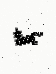 [C-]#[N+]C1=NN(CC(=O)O)C(=O)/C1=C\c1ccc2c(c1)CCCN2c1ccc(C)cc1